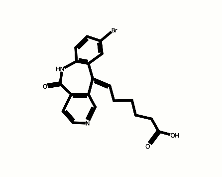 O=C(O)CCCCC=C1c2cc(Br)ccc2NC(=O)c2ccncc21